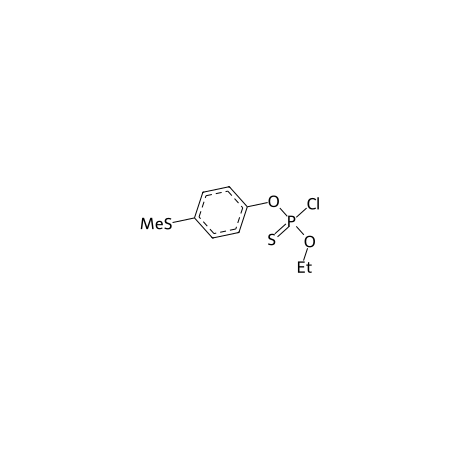 CCOP(=S)(Cl)Oc1ccc(SC)cc1